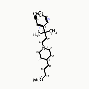 C#C/C=C(\C=C/C)C(C)(C)CCN1CCC(CCCOC)CC1